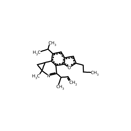 C=CC(C)C1=NC2(C)CC2c2c(C(C)C)cc3cc(CCC)oc3c21